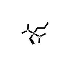 C=C[Si](CCC)(N(C)C)N(C)C